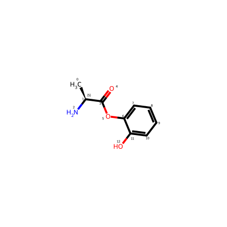 C[C@H](N)C(=O)Oc1ccccc1O